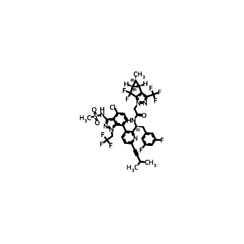 CC(C)C#Cc1ccc(-c2ccc(Cl)c3c(NS(C)(=O)=O)nn(CC(F)(F)F)c23)c([C@H](Cc2cc(F)cc(F)c2)NC(=O)Cn2nc(C(F)(F)F)c3c2C(F)(F)[C@@H]2[C@H](C)[C@H]32)n1